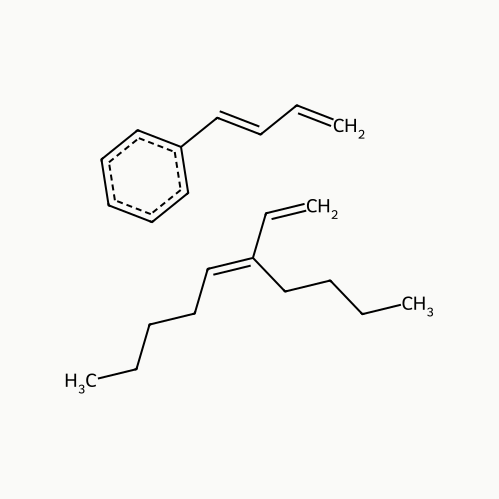 C=C/C(=C/CCCC)CCCC.C=C/C=C/c1ccccc1